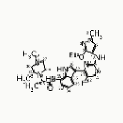 CCOc1nn(C)cc1Nc1ncc(F)c(-c2c[nH]c3c(NC(=O)[C@@H](C)N4CCN(C)C[C@H]4C)cccc23)n1